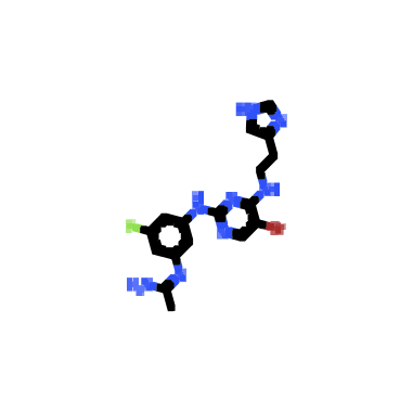 CC(N)=Nc1cc(F)cc(Nc2ncc(Br)c(NCCc3c[nH]cn3)n2)c1